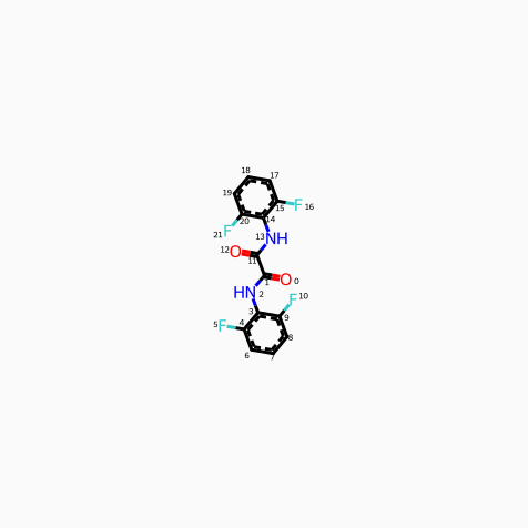 O=C(Nc1c(F)cccc1F)C(=O)Nc1c(F)cccc1F